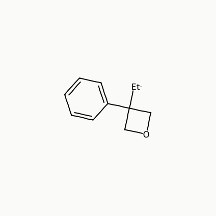 C[CH]C1(c2ccccc2)COC1